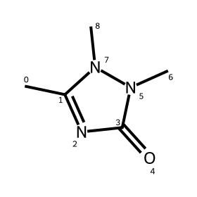 Cc1nc(=O)n(C)n1C